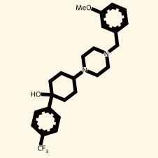 COc1cccc(CN2CCN(C3CCC(O)(c4ccc(C(F)(F)F)cc4)CC3)CC2)c1